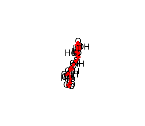 C[C@]12C=CC(=O)C=C1CC[C@@H]1[C@@H]2[C@@H](O)C[C@@]2(C)[C@H]1C[C@H]1O[C@@H](c3ccc(Cc4nc(NC(=O)OCc5ccc(NC(=O)[C@H](CCC(=O)O)NC(=O)CNC(=O)CCC(=O)ON6C(=O)C=CC6=O)cc5)cs4)cc3)O[C@]12C(=O)CO